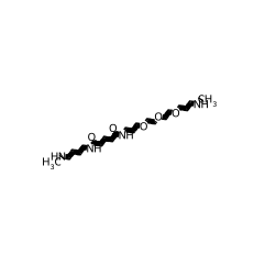 CNCCCCNC(=O)CCCC(=O)NCCCOCCOCCOCCCNC